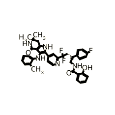 Cc1ccccc1Nc1c(-c2ccnc(C(F)(F)C[C@@H](CNC(=O)c3ccccc3O)c3ccc(F)cc3)c2)[nH]c2c1C(=O)NC(C)(C)C2